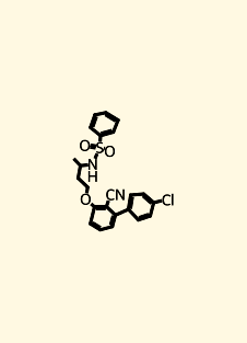 CC(CCOc1cccc(-c2ccc(Cl)cc2)c1C#N)NS(=O)(=O)c1ccccc1